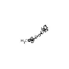 Cc1ccc(S(=O)(=O)OCCOCCOCCOC[C@H]2O[C@H]3CC/C=C/CC[C@H]3O2)cc1